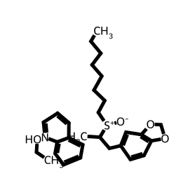 CCCCCCCC[S+]([O-])C(C)Cc1ccc2c(c1)OCO2.CCO.c1ccc2ncccc2c1